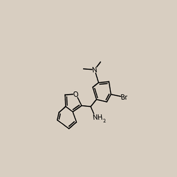 CN(C)c1cc(Br)cc(C(N)c2occ3ccccc23)c1